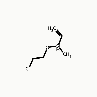 C=C[SiH](C)OCCCl